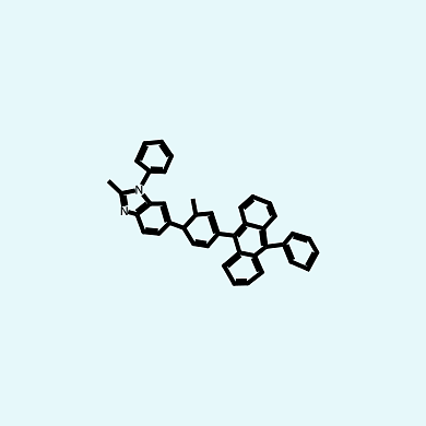 Cc1nc2ccc(C3C=CC(c4c5ccccc5c(-c5ccccc5)c5ccccc45)=CC3C)cc2n1-c1ccccc1